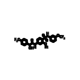 CCOc1cc(NC(=O)C(O)c2ccc(C(F)(F)F)cc2)ccc1S(=O)(=O)Nc1cccc(OC(F)(F)F)c1